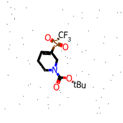 CC(C)(C)OC(=O)N1CCC=C(S(=O)(=O)C(F)(F)F)C1